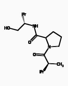 CC(C)[C@H](C)C(=O)N1CCCC1C(=O)N[C@H](CO)C(C)C